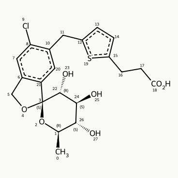 C[C@H]1O[C@]2(OCc3cc(Cl)c(Cc4ccc(CCC(=O)O)s4)cc32)[C@H](O)[C@@H](O)[C@@H]1O